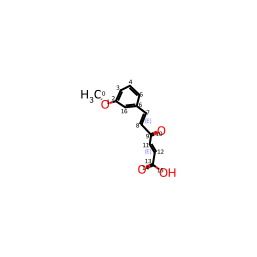 COc1cccc(/C=C/C(=O)/C=C/C(=O)O)c1